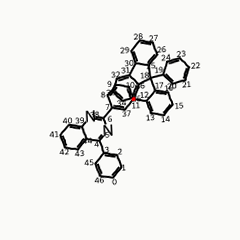 c1ccc(-c2nc(-c3cccc(-c4ccccc4C4(c5ccccc5)c5ccccc5-c5ccccc54)c3)nc3ccccc23)cc1